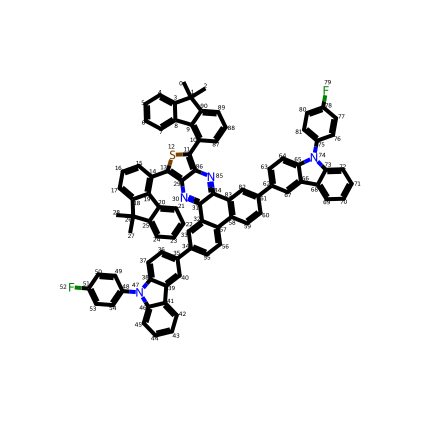 CC1(C)c2ccccc2-c2c(-c3sc(-c4cccc5c4-c4ccccc4C5(C)C)c4nc5c6cc(-c7ccc8c(c7)c7ccccc7n8-c7ccc(F)cc7)ccc6c6ccc(-c7ccc8c(c7)c7ccccc7n8-c7ccc(F)cc7)cc6c5nc34)cccc21